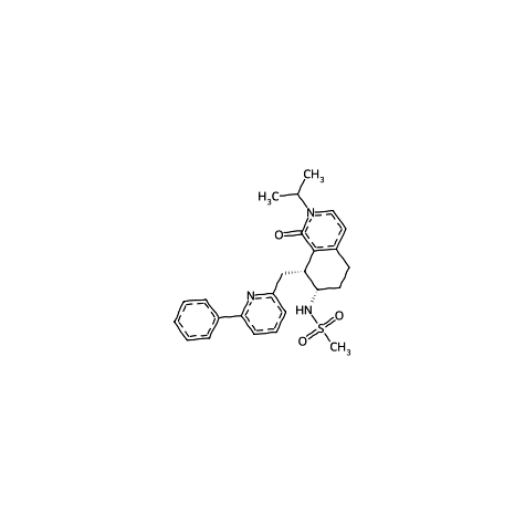 CC(C)n1ccc2c(c1=O)[C@@H](Cc1cccc(-c3ccccc3)n1)[C@@H](NS(C)(=O)=O)CC2